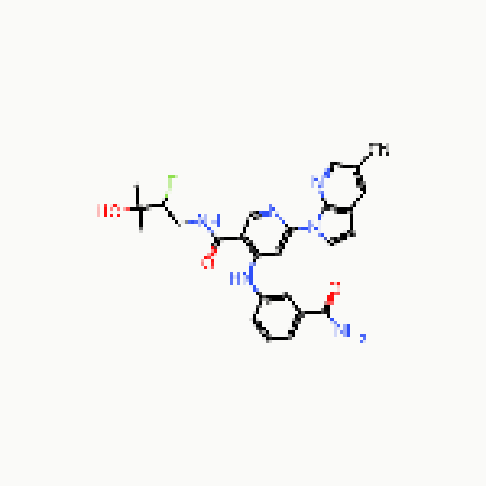 CC(C)(O)C(F)CNC(=O)c1cnc(-n2ccc3cc(C#N)cnc32)cc1Nc1cccc(C(N)=O)c1